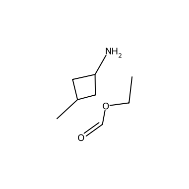 CC1CC(N)C1.CCOC=O